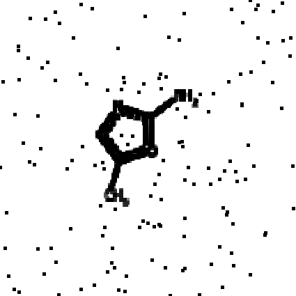 Bc1ncc(C)o1